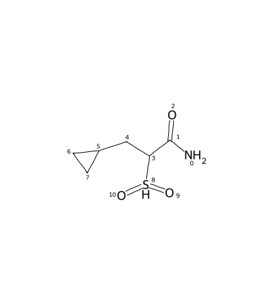 NC(=O)C(CC1CC1)[SH](=O)=O